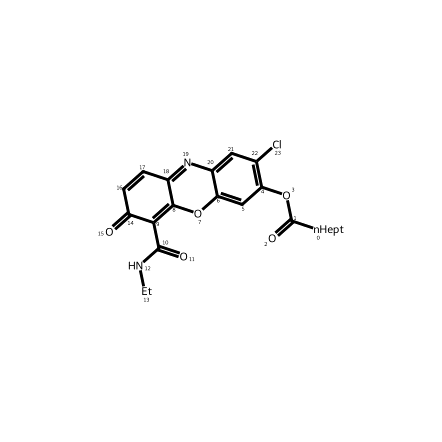 CCCCCCCC(=O)Oc1cc2oc3c(C(=O)NCC)c(=O)ccc-3nc2cc1Cl